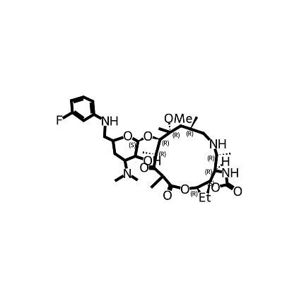 CC[C@H]1OC(=O)C(C)C(=O)[C@H](C)[C@@H](O[C@@H]2OC(CNc3cccc(F)c3)CC(N(C)C)C2O)[C@](C)(OC)C[C@@H](C)CN[C@H](C)[C@H]2NC(=O)O[C@@]21C